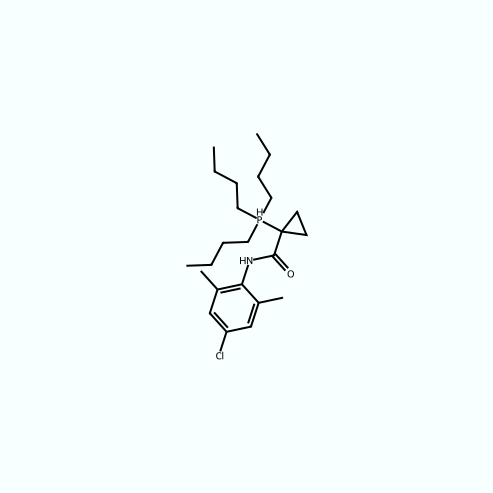 CCCC[PH](CCCC)(CCCC)C1(C(=O)Nc2c(C)cc(Cl)cc2C)CC1